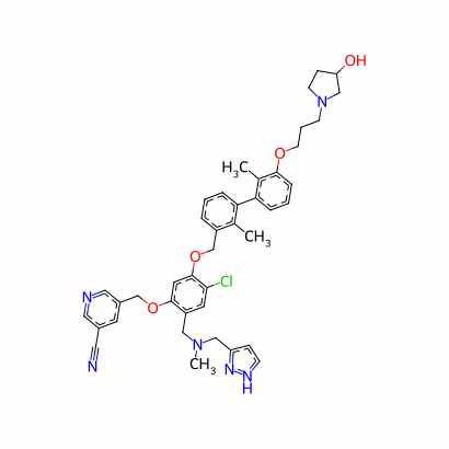 Cc1c(COc2cc(OCc3cncc(C#N)c3)c(CN(C)Cc3cc[nH]n3)cc2Cl)cccc1-c1cccc(OCCCN2CCC(O)C2)c1C